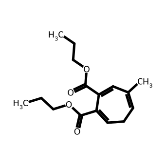 CCCOC(=O)C1=CCC=C(C)C=C1C(=O)OCCC